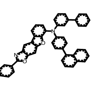 c1ccc(-c2cccc(N(c3ccc(-c4cccc5ccccc45)cc3)c3cccc4c3oc3cc5oc(-c6ccccc6)nc5cc34)c2)cc1